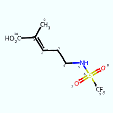 C/C(=C\CCNS(=O)(=O)C(F)(F)F)C(=O)O